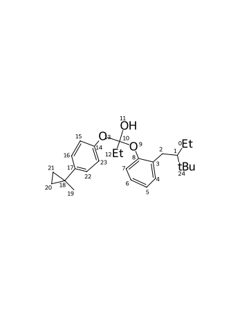 CCC(Cc1ccccc1OC(O)(CC)Oc1ccc(C2(C)CC2)cc1)C(C)(C)C